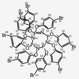 Brc1ccc(ON2P(Oc3ccc(Br)cc3)N=P(Oc3ccc(Br)cc3)(Oc3ccc(Br)cc3)N(Oc3ccc(Br)cc3)P(Oc3ccc(Br)cc3)N(Oc3ccc(Br)cc3)P2Oc2ccc(Br)cc2)cc1